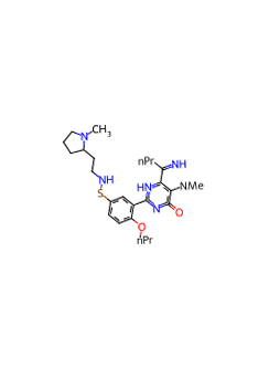 CCCOc1ccc(SNCCC2CCCN2C)cc1-c1nc(=O)c(NC)c(C(=N)CCC)[nH]1